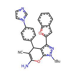 CC(C)(C)n1nc(-c2cc3ccccc3o2)c2c1OC(N)=C(C#N)C2c1ccc(-n2ccnc2)cc1